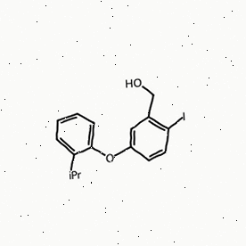 CC(C)c1ccccc1Oc1ccc(I)c(CO)c1